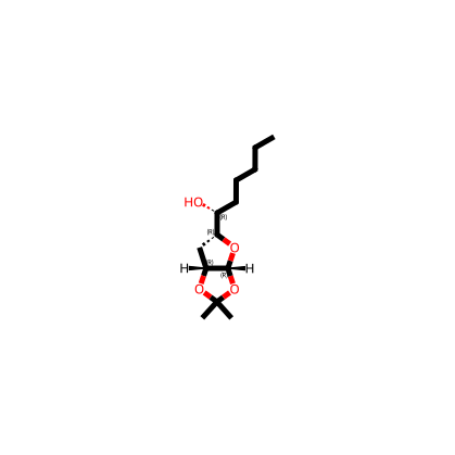 CCCCC[C@@H](O)[C@H]1C[C@H]2OC(C)(C)O[C@H]2O1